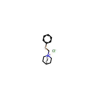 [Cl-].c1ccc(SC[N+]23CCC(CC2)CC3)cc1